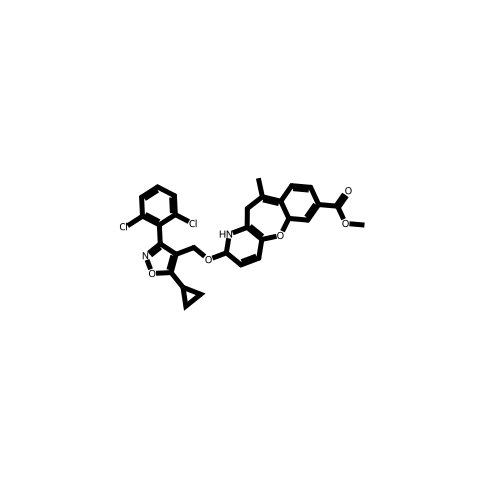 COC(=O)C1=CC2OC3=C(CC(C)=C2C=C1)NC(OCc1c(-c2c(Cl)cccc2Cl)noc1C1CC1)C=C3